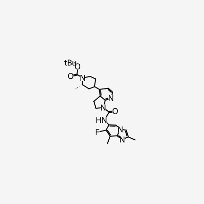 Cc1cn2cc(NC(=O)N3CCc4c(C5CCN(C(=O)OC(C)(C)C)[C@@H](C)C5)ccnc43)c(F)c(C)c2n1